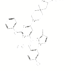 Cc1ccn(-c2cc(Cl)ccc2[C@@H](Oc2cc(N3CCC4(CC3)CNC(C(=O)O)C4)nc(Oc3ccccc3)n2)C(F)(F)F)n1